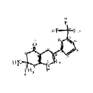 CC1(C)CC(=O)C2=C(C1)NN=C(c1cccc(C(F)(F)F)c1)C2